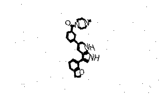 CN1CCN(C(=O)C2C=CC=C(C3=Cc4c(C5=CCCC6=C5OCC6)c[nH]c4NC3)C2)CC1